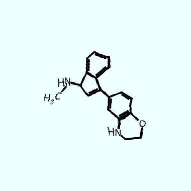 CNC1C=C(c2ccc3c(c2)NCCO3)c2ccccc21